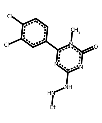 CCNNc1nc(-c2ccc(Cl)c(Cl)c2)n(C)c(=O)n1